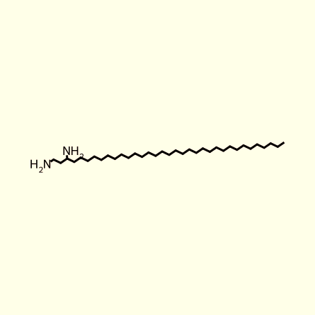 CCCCCCCCCCCCCCCCCCCCCCCCCCCCCCCCC(N)CCN